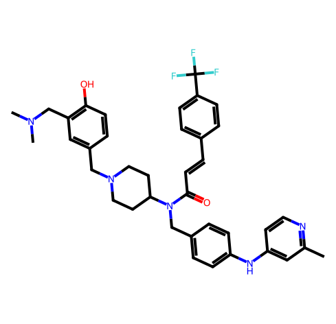 Cc1cc(Nc2ccc(CN(C(=O)C=Cc3ccc(C(F)(F)F)cc3)C3CCN(Cc4ccc(O)c(CN(C)C)c4)CC3)cc2)ccn1